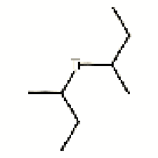 CC[CH](C)[Ti][CH](C)CC